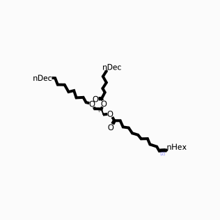 CCCCCC/C=C\CCCCCCCCCC(=O)OC[C@@H](COCCCCCCCCCCCCCCCCCC)OC(=O)CCCCCCCCCCCCCCC